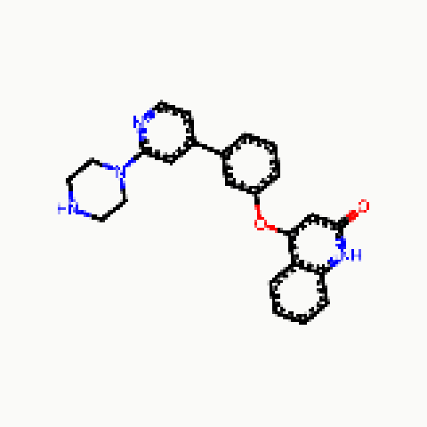 O=c1cc(Oc2cccc(-c3ccnc(N4CCNCC4)c3)c2)c2ccccc2[nH]1